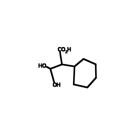 O=C(O)C(C(O)O)C1CCCCC1